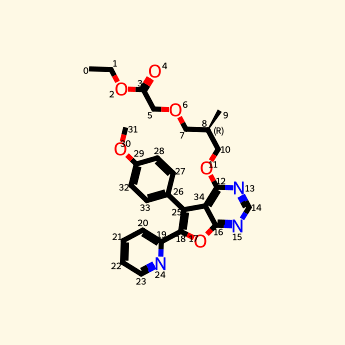 CCOC(=O)COC[C@@H](C)COc1ncnc2oc(-c3ccccn3)c(-c3ccc(OC)cc3)c12